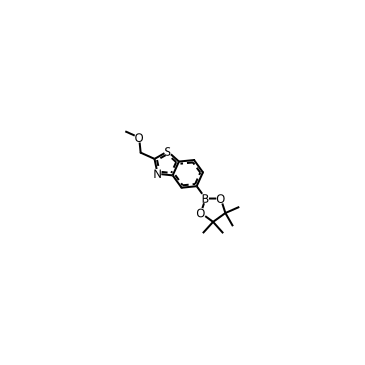 COCc1nc2cc(B3OC(C)(C)C(C)(C)O3)ccc2s1